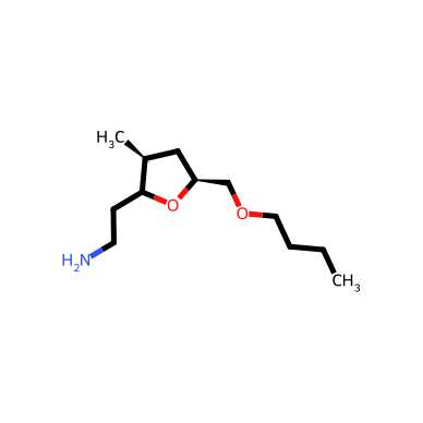 CCCCOC[C@@H]1C[C@H](C)C(CCN)O1